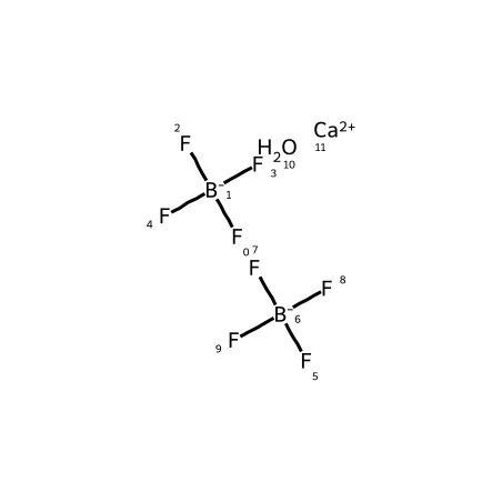 F[B-](F)(F)F.F[B-](F)(F)F.O.[Ca+2]